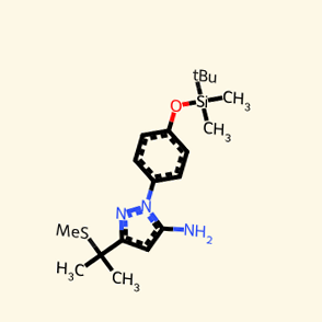 CSC(C)(C)c1cc(N)n(-c2ccc(O[Si](C)(C)C(C)(C)C)cc2)n1